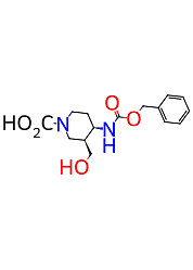 O=C(N[C@@H]1CCN(C(=O)O)C[C@@H]1CO)OCc1ccccc1